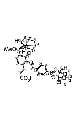 COC(c1ccc(/C=C/C(=O)O)c(OCc2ccc(B3OC(C)(C)C(C)(C)O3)cc2)c1Cl)=C1[C@H]2CC3CC(C2)C[C@@H]1C3